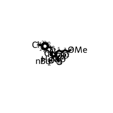 CCCCOc1cc(CC(CCOC)S(=O)(=O)OC(N)=O)n(Cc2ccc(Cl)cc2Cl)n1